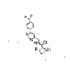 O=C(NCc1cc(-c2ccc(C(F)F)cc2)ncn1)[C@H]1NCC[C@@H]1F